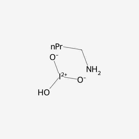 CCCCN.[O-][I+2]([O-])O